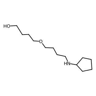 OCCCCOCCCCNC1CCCC1